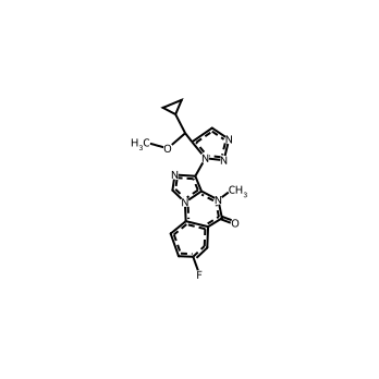 COC(c1cnnn1-c1ncn2c3ccc(F)cc3c(=O)n(C)c12)C1CC1